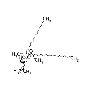 CCCCCCCCCCCCCCCCCC(CCC)N(CC(O)C[PH](=O)CCN(C)C)C(=O)C(CC)CCCCCCCCCCCCCCCC